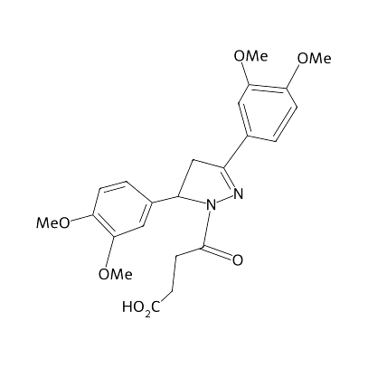 COc1ccc(C2=NN(C(=O)CCC(=O)O)C(c3ccc(OC)c(OC)c3)C2)cc1OC